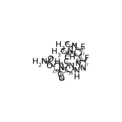 Cc1nc(Nc2ncc(F)c(-c3cc(F)c4nc(C)n(C(C)C)c4c3)n2)ccc1N1CCC(OC(N)=O)CC1=C=O